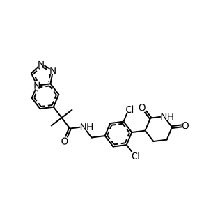 CC(C)(C(=O)NCc1cc(Cl)c(C2CCC(=O)NC2=O)c(Cl)c1)c1ccn2cnnc2c1